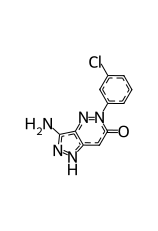 Nc1n[nH]c2cc(=O)n(-c3cccc(Cl)c3)nc12